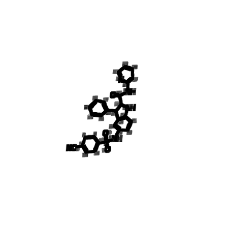 N#Cc1ccc(S(=O)(=O)Nc2ccc3c(c2)C(c2ccccc2)C(C(=O)Nc2ccccn2)N3)cc1